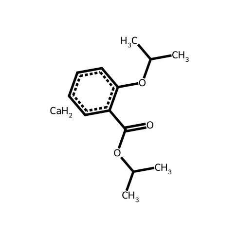 CC(C)OC(=O)c1ccccc1OC(C)C.[CaH2]